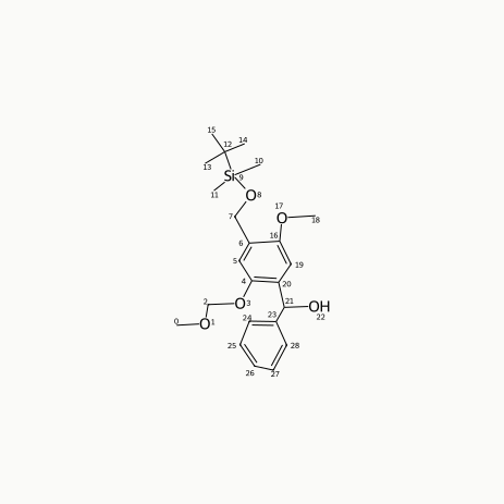 COCOc1cc(CO[Si](C)(C)C(C)(C)C)c(OC)cc1C(O)c1ccccc1